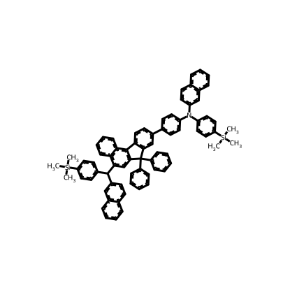 C[Si](C)(C)c1ccc(C(c2ccc3ccccc3c2)c2cc3c(c4ccccc24)-c2ccc(-c4ccc(N(c5ccc([Si](C)(C)C)cc5)c5ccc6ccccc6c5)cc4)cc2C3(c2ccccc2)c2ccccc2)cc1